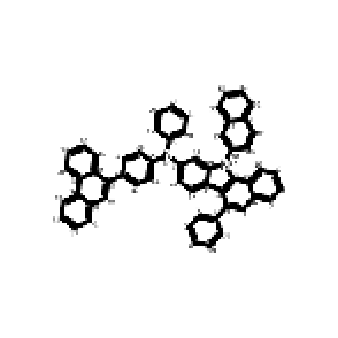 c1ccc(-c2cc3ccccc3c3c2c2ccc(N(c4ccccc4)c4ccc(-c5cc6ccccc6c6ccccc56)cc4)cc2n3-c2ccc3ccccc3c2)cc1